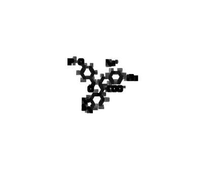 CC(C)Oc1ccc(C(=O)C(Cc2ccc(C(C)(C)C)cc2)=C(C(=O)[O-])c2ccc3nsnc3c2)cc1.[Na+]